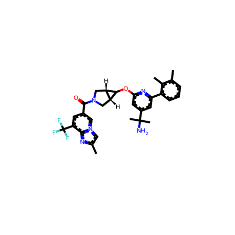 Cc1cn2cc(C(=O)N3C[C@@H]4C(Oc5cc(C(C)(C)N)cc(-c6cccc(C)c6C)n5)[C@@H]4C3)cc(C(F)(F)F)c2n1